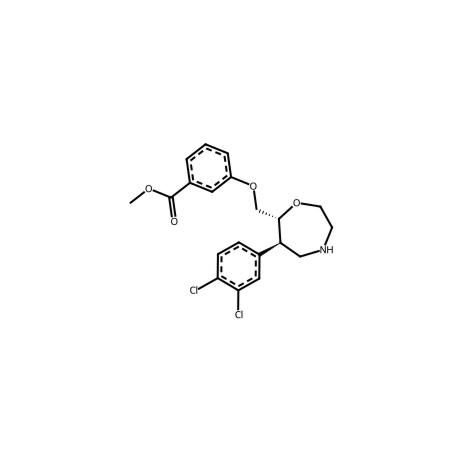 COC(=O)c1cccc(OC[C@@H]2OCCNC[C@H]2c2ccc(Cl)c(Cl)c2)c1